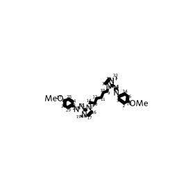 COc1ccc(/N=N/c2n(CCCCCC[n+]3ccn(C)c3/N=N/c3ccc(OC)cc3)cc[n+]2C)cc1